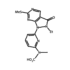 CCn1c(=O)c2cnc(SC)nc2n1-c1cccc(N(C)C(=O)O)n1